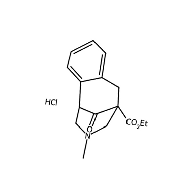 CCOC(=O)C12Cc3ccccc3C(CN(C)C1)C2=O.Cl